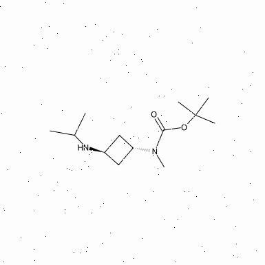 CC(C)N[C@H]1C[C@H](N(C)C(=O)OC(C)(C)C)C1